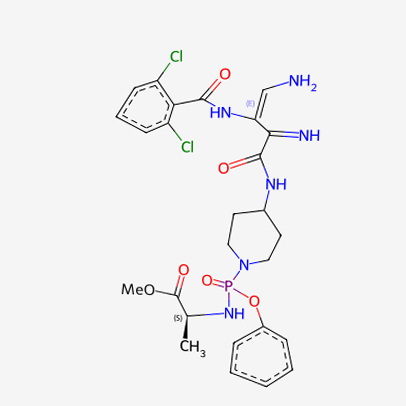 COC(=O)[C@H](C)NP(=O)(Oc1ccccc1)N1CCC(NC(=O)C(=N)/C(=C\N)NC(=O)c2c(Cl)cccc2Cl)CC1